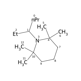 CCCC(CC)N1C(C)(C)CCCC1(C)C